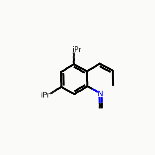 C=Nc1cc(C(C)C)cc(C(C)C)c1/C=C\C